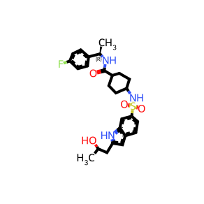 CC(O)Cc1cc2ccc(S(=O)(=O)NC3CCC(C(=O)N[C@H](C)c4ccc(F)cc4)CC3)cc2[nH]1